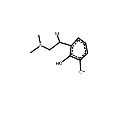 CCC(CN(C)C)c1cccc(O)c1O